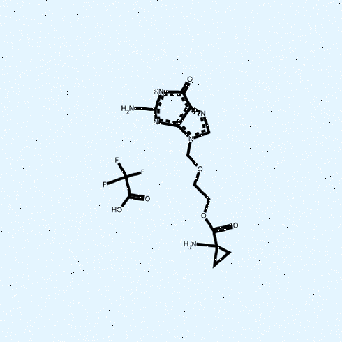 Nc1nc2c(ncn2COCCOC(=O)C2(N)CC2)c(=O)[nH]1.O=C(O)C(F)(F)F